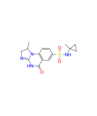 CC1CN=C2NC(=O)c3cc(S(=O)(=O)NC4(C)CC4)ccc3N21